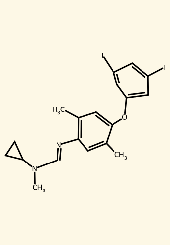 Cc1cc(Oc2cc(I)cc(I)c2)c(C)cc1/N=C/N(C)C1CC1